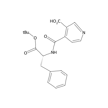 CC(C)(C)OC(=O)[C@@H](Cc1ccccc1)NC(=O)c1ccncc1C(=O)O